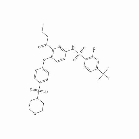 CCCC(=O)c1nc(NS(=O)(=O)c2ccc(C(F)(F)F)cc2Cl)ccc1Sc1ccc(S(=O)(=O)C2CCOCC2)cc1